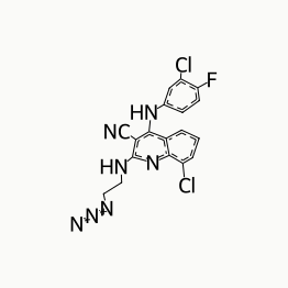 N#Cc1c(NCCN=[N+]=[N-])nc2c(Cl)cccc2c1Nc1ccc(F)c(Cl)c1